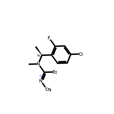 CC/C(=N\C#N)N(C)[C@@H](C)c1ccc(Cl)cc1F